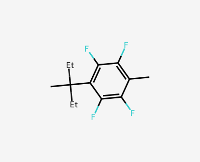 CCC(C)(CC)c1c(F)c(F)c(C)c(F)c1F